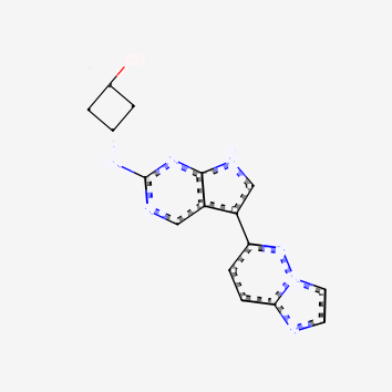 C[C@]1(O)C[C@H](Nc2ncc3c(-c4ccc5nccn5n4)c[nH]c3n2)C1